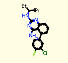 CCC(Nc1nc(N)c2c(-c3ccc(F)c(Cl)c3)cccc2n1)C(C)C